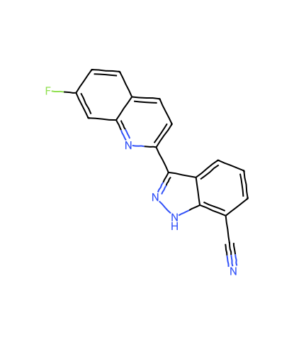 N#Cc1cccc2c(-c3ccc4ccc(F)cc4n3)n[nH]c12